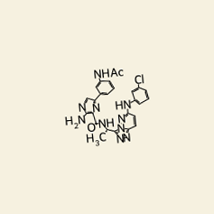 CC(=O)Nc1cccc(-c2cnc(N)c(C(=O)N[C@H](C)c3nnc4ccc(Nc5cccc(Cl)c5)nn34)n2)c1